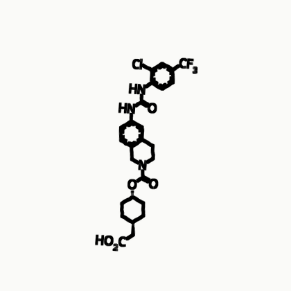 O=C(O)C[C@H]1CC[C@H](OC(=O)N2CCc3cc(NC(=O)Nc4ccc(C(F)(F)F)cc4Cl)ccc3C2)CC1